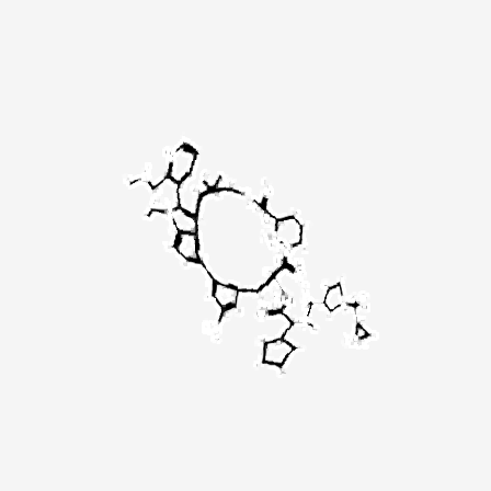 CCn1c(-c2cccnc2[C@H](C)OC)c2c3cc(ccc31)-c1cc(O)cc(c1)C[C@H](NC(=O)[C@H](C1CCCC1)N(C)C(=O)[C@H]1CCN(C(=O)[C@H]3CN3)C1)C(=O)N1CCC[C@H](N1)C(=O)OCC(C)(C)C2